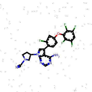 N#CN1CCC(n2cc(-c3ccc(Oc4c(F)c(F)cc(F)c4F)cc3F)c3c(N)ncnc32)C1